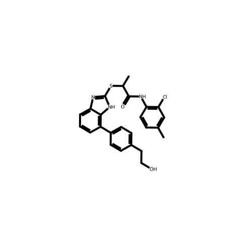 Cc1ccc(NC(=O)C(C)Sc2nc3cccc(-c4ccc(CCO)cc4)c3[nH]2)c(Cl)c1